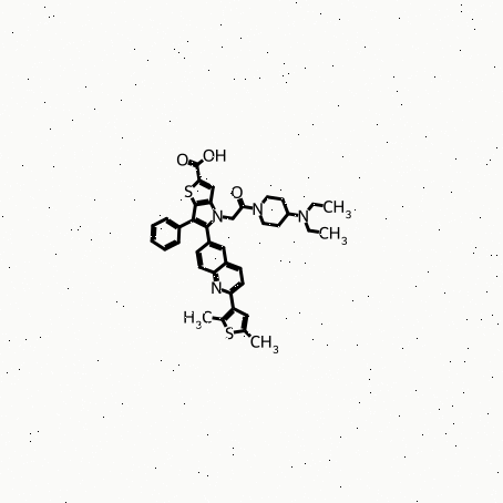 CCN(CC)C1CCN(C(=O)Cn2c(-c3ccc4nc(-c5cc(C)sc5C)ccc4c3)c(-c3ccccc3)c3sc(C(=O)O)cc32)CC1